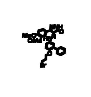 COc1ccc(C2=NNC(=O)/C2=N/Nc2ccc(OCCCBr)c(-c3ccccc3)c2)cc1OC